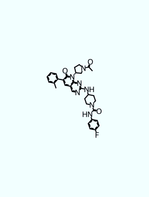 CC(=O)N1CC[C@H](n2c(=O)c(-c3ccccc3C)cc3cnc(NC4CCN(C(=O)Nc5ccc(F)cc5)CC4)nc32)C1